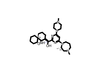 C[C@H]1CN(C)CCCN1c1cc(N2CCN(C)CC2)nc(/C(O)=C2\CCC[C@@]3(CCCCC3=O)C2=N)n1